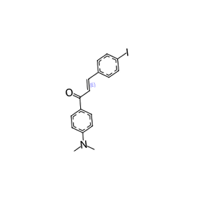 CN(C)c1ccc(C(=O)/C=C/c2ccc(I)cc2)cc1